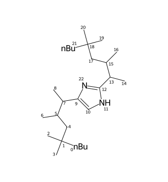 CCCCC(C)(C)CC(C)C(C)c1c[nH]c(C(C)C(C)CC(C)(C)CCCC)n1